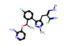 CCN/C=C(/Cc1cn(C)nc1-c1ccc(F)cc1[C@@H](C)Oc1cccnc1N)C(=N)Cl